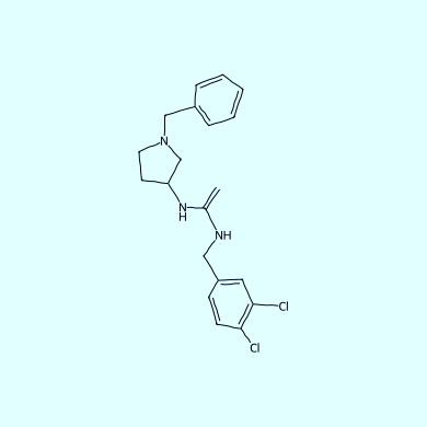 C=C(NCc1ccc(Cl)c(Cl)c1)NC1CCN(Cc2ccccc2)C1